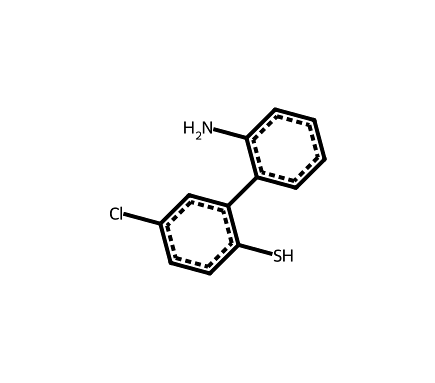 Nc1ccccc1-c1cc(Cl)ccc1S